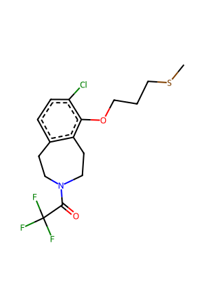 CSCCCOc1c(Cl)ccc2c1CCN(C(=O)C(F)(F)F)CC2